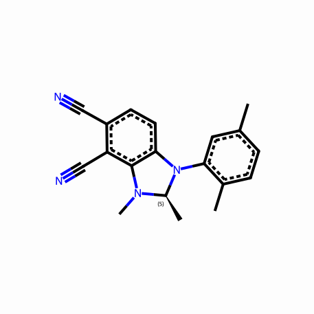 Cc1ccc(C)c(N2c3ccc(C#N)c(C#N)c3N(C)[C@@H]2C)c1